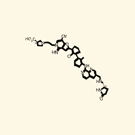 Cc1c(Nc2nccc3cc(CNC[C@@H]4CCC(=O)N4)cnc23)cccc1-c1cccc(-c2cc3c(=N)n(CCN4CC[C@@H](C(=O)O)C4)cc(C#N)c3o2)c1Cl